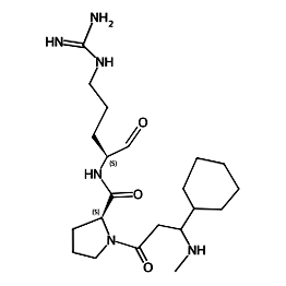 CNC(CC(=O)N1CCC[C@H]1C(=O)N[C@H](C=O)CCCNC(=N)N)C1CCCCC1